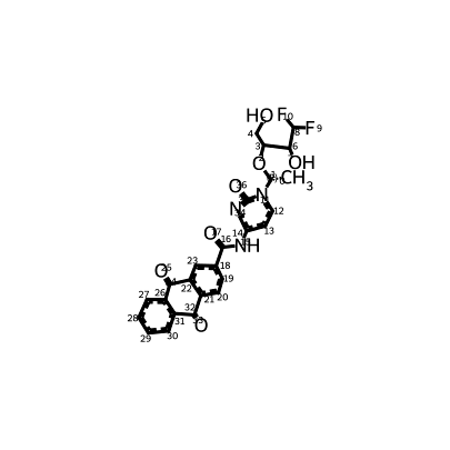 C[C@@H](OC(CO)C(O)C(F)F)n1ccc(NC(=O)c2ccc3c(c2)C(=O)c2ccccc2C3=O)nc1=O